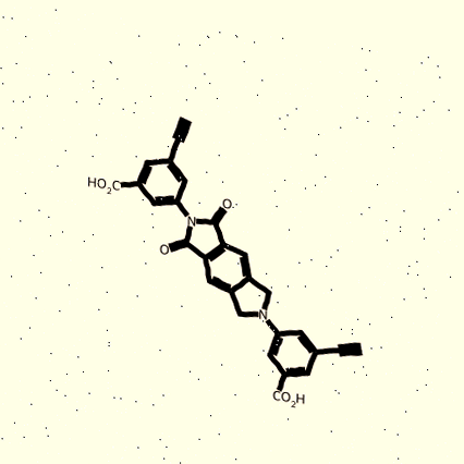 C#Cc1cc(C(=O)O)cc(N2Cc3cc4c(cc3C2)C(=O)N(c2cc(C#C)cc(C(=O)O)c2)C4=O)c1